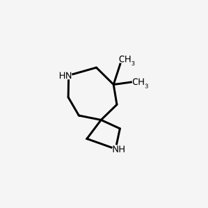 CC1(C)CNCCC2(CNC2)C1